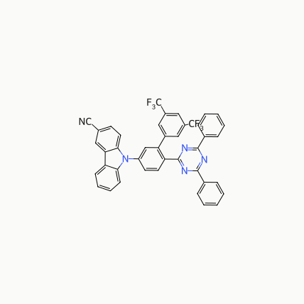 N#Cc1ccc2c(c1)c1ccccc1n2-c1ccc(-c2nc(-c3ccccc3)nc(-c3ccccc3)n2)c(-c2cc(C(F)(F)F)cc(C(F)(F)F)c2)c1